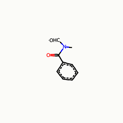 CN([C]=O)C(=O)c1ccccc1